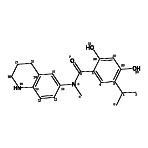 CC(C)c1cc(C(=O)N(C)c2ccc3c(c2)CCCN3)c(O)cc1O